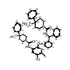 CCc1cc(NC(=O)N2CCC(C(=O)O)(c3ccccc3)CC2)c(OC)nc1C.O=C(NC(c1ccccc1)c1ccccc1)N1CCC(C(=O)O)(c2ccccc2)CC1